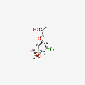 CC(O)COc1cc(F)cc(S(C)(=O)=O)c1